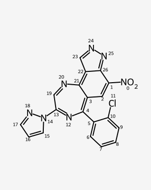 O=[N+]([O-])c1cc2c(-c3ccccc3Cl)nc(-n3cccn3)cnc2c2cnnc12